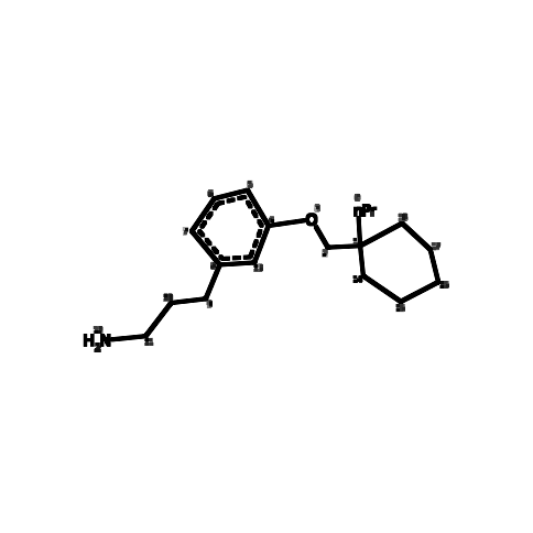 CCCC1(COc2cccc(CCCN)c2)CCCCC1